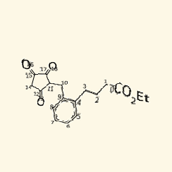 CCOC(=O)CCCc1ccccc1CC1C(=O)CC(=O)C1=O